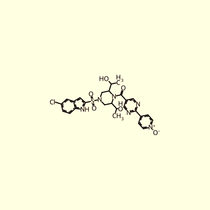 CC(O)C1CN(S(=O)(=O)c2cc3cc(Cl)ccc3[nH]2)CC(C(C)O)N1C(=O)c1cnc(-c2cc[n+]([O-])cc2)nc1